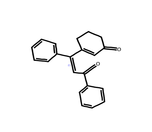 O=C1C=C(/C(=C\C(=O)c2ccccc2)c2ccccc2)CCC1